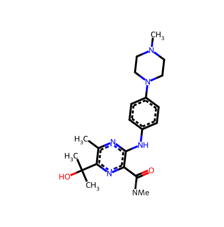 CNC(=O)c1nc(C(C)(C)O)c(C)nc1Nc1ccc(N2CCN(C)CC2)cc1